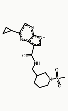 CS(=O)(=O)N1CCCC(CNC(=O)c2c[nH]c3ncc(C4CC4)nc23)C1